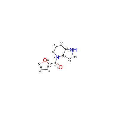 O=C(c1ccco1)N1CCCC2NCCC21